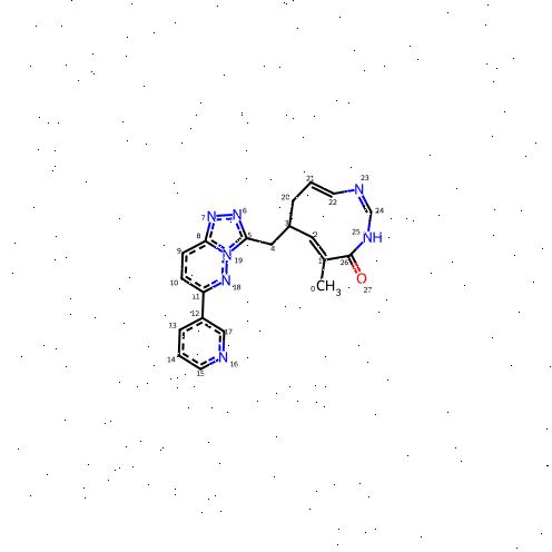 C/C1=C\C(Cc2nnc3ccc(-c4cccnc4)nn23)C/C=C/N=C\NC1=O